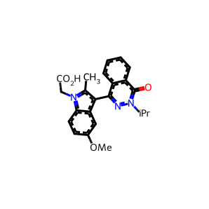 COc1ccc2c(c1)c(-c1nn(C(C)C)c(=O)c3ccccc13)c(C)n2CC(=O)O